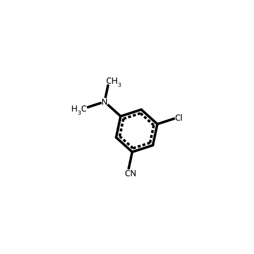 CN(C)c1cc(Cl)cc(C#N)c1